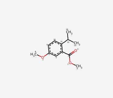 COC(=O)c1cc(OC)ccc1C(C)C